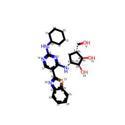 OC[C@H]1C[C@@H](Nc2nc(NC3CCCCC3)ncc2-c2nc3ccccc3s2)[C@H](O)[C@@H]1O